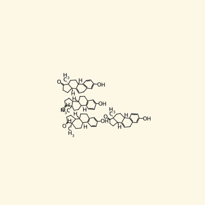 C[C@]12CC[C@@H]3c4ccc(O)cc4CC[C@H]3[C@@H]1CCC2=O.C[C@]12CC[C@@H]3c4ccc(O)cc4CC[C@H]3[C@@H]1CCC2=O.C[C@]12CC[C@H]3C(=CCc4cc(O)ccc43)[C@@H]1CCC2=O.C[C@]12CC[C@H]3C(=CCc4cc(O)ccc43)[C@@H]1CCC2=O